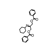 O=C(OCC(COC(=O)c1ccccc1)=NC1CCCCC1)c1ccccc1